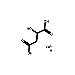 O=C(O)CC(O)C(=O)O.[Ca+2].[H+]